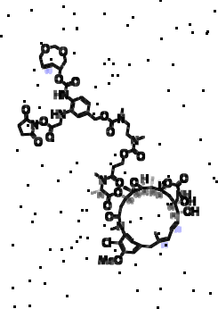 COc1cc2cc(c1Cl)N(C)C(=O)C[C@H](OC(=O)[C@H](C)N(C)C(=O)CCOC(=O)N(C)CCN(C)C(=O)OCc1ccc(NC(=O)OC3/C=C/COCOC3)c(NCC(=O)ON3C(=O)CCC3=O)c1)[C@]1(C)O[C@H]1[C@H](C)[C@@H]1C[C@@](O)(NC(=O)O1)[C@H](O)/C=C/C=C(\C)C2